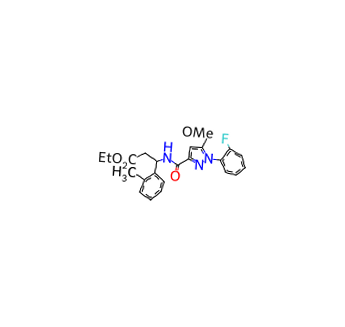 CCOC(=O)CC(NC(=O)c1cc(OC)n(-c2ccccc2F)n1)c1ccccc1C